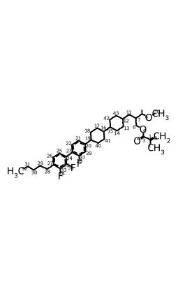 C=C(C)C(=O)OCC(COC)CC1CCC(C2CCC(c3ccc(-c4ccc(CCCCC)c(F)c4F)c(F)c3)CC2)CC1